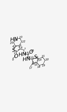 COc1sc2c(c1CNC(=O)Nc1sc3c(c1C)CCCC3)CCNC2